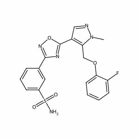 Cn1ncc(-c2nc(-c3cccc(S(N)(=O)=O)c3)no2)c1COc1ccccc1F